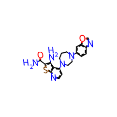 NC(=O)c1sc2nccc(N3CCCN(c4ccc5ncoc5c4)CC3)c2c1N